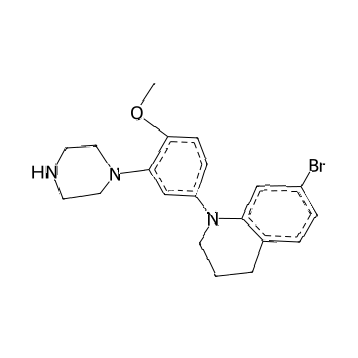 COc1ccc(N2CCCc3ccc(Br)cc32)cc1N1CCNCC1